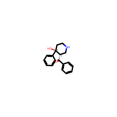 O=C(c1ccccc1)[C@H]1CNCC[C@@]1(O)c1ccccc1